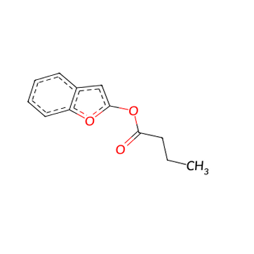 CCCC(=O)Oc1cc2ccccc2o1